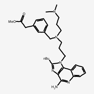 CCCCc1nc2c(N)nc3ccccc3c2n1CCCN(CCCN(C)C)Cc1cccc(CC(=O)OC)c1